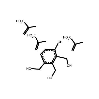 C=C(C)C(=O)O.C=C(C)C(=O)O.C=C(C)C(=O)O.OCc1ccc(O)c(CO)c1CO